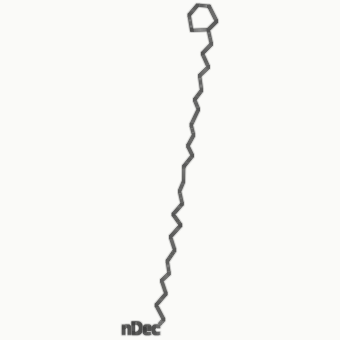 CCCCCCCCCCCCCCCCCCCCCCCCCCCCCCCCCCCC1CCCCC1